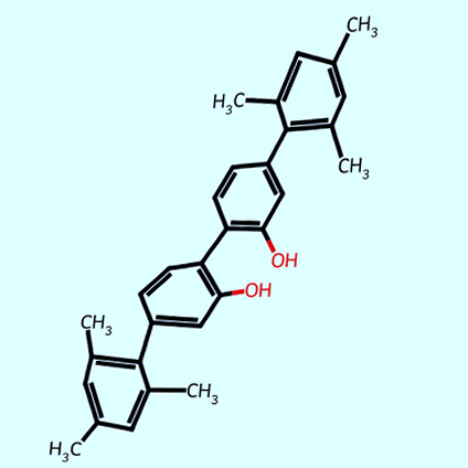 Cc1cc(C)c(-c2ccc(-c3ccc(-c4c(C)cc(C)cc4C)cc3O)c(O)c2)c(C)c1